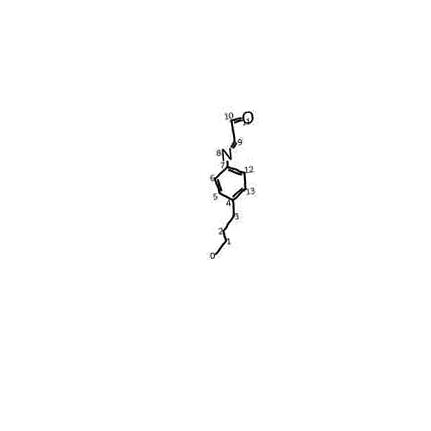 CCCCc1ccc(N=CC=O)cc1